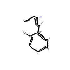 C/C=C\c1ccccc1F